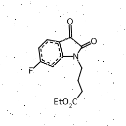 CCOC(=O)CCCN1C(=O)C(=O)c2ccc(F)cc21